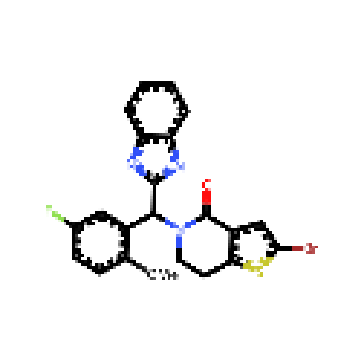 COc1ccc(F)cc1C(c1nc2ccccc2[nH]1)N1CCc2sc(Br)cc2C1=O